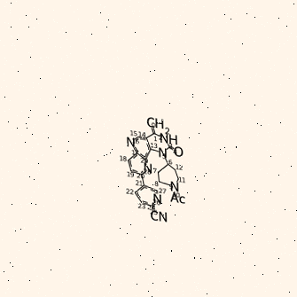 C=C1NC(=O)N(C2CCN(C(C)=O)CC2)c2c1cnc1ccc(-c3ccc(C#N)nc3)nc21